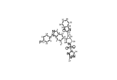 Cc1cc2c(cnn2-c2ccc(F)cc2)cc1C12CN(S(=O)(=O)c3cnn(C)n3)CC1C2c1nc2ccccc2o1